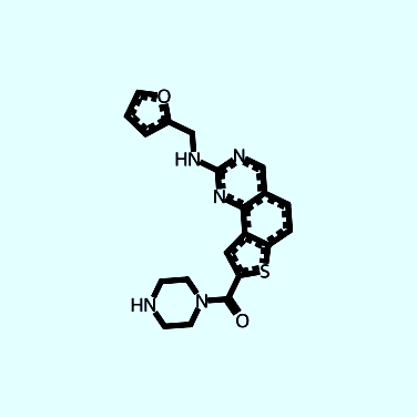 O=C(c1cc2c(ccc3cnc(NCc4ccco4)nc32)s1)N1CCNCC1